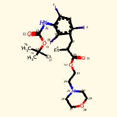 CCC(Cc1c(I)cc(I)c(NC(=O)OC(C)(C)CC)c1I)C(=O)OCCN1CCOCC1